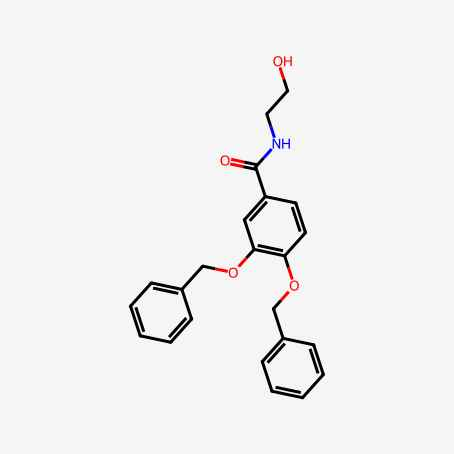 O=C(NCCO)c1ccc(OCc2ccccc2)c(OCc2ccccc2)c1